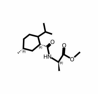 COC(=O)[C@@H](C)NC(=O)[C@@H]1C[C@H](C)CCC1C(C)C